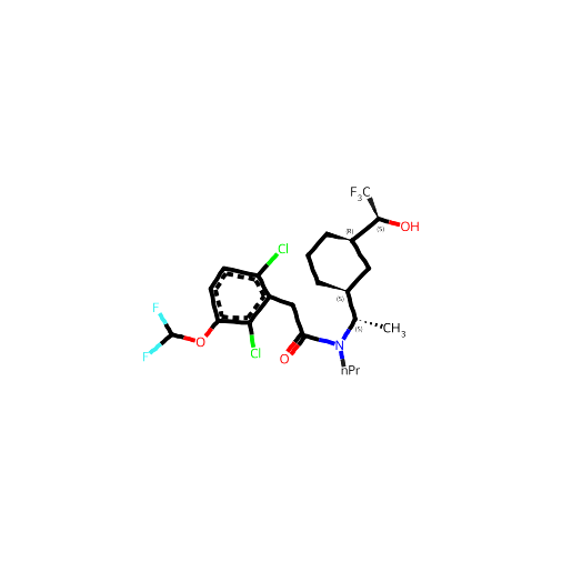 CCCN(C(=O)Cc1c(Cl)ccc(OC(F)F)c1Cl)[C@@H](C)[C@H]1CCC[C@@H]([C@H](O)C(F)(F)F)C1